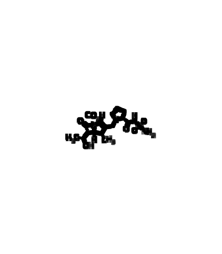 C[C@@H](O)[C@H]1C(=O)N2C(C(=O)O)=C(CN3CCC[C@H]3C(=O)NS(N)(=O)=O)[C@H](C)[C@H]12